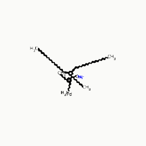 CCCCCCCCCCCCCCCCCCCCCC#Cc1cc(C#CCCCCCCCCCCCCCCCCCCCCC)cc(C(=C(C=C=[N+]=[N-])CCCCCCCC)c2cc(CCCCCC)cc(CCCCCC)c2)c1.[Pd]